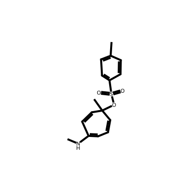 CNC1=CC=CC(C)(OS(=O)(=O)c2ccc(C)cc2)C=C1